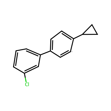 Clc1cccc(-c2c[c]c(C3CC3)cc2)c1